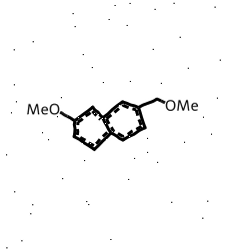 COCc1ccc2ccc(OC)cc2c1